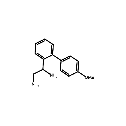 COc1ccc(-c2ccccc2C(N)CN)cc1